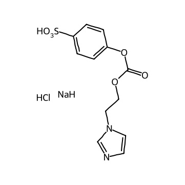 Cl.O=C(OCCn1ccnc1)Oc1ccc(S(=O)(=O)O)cc1.[NaH]